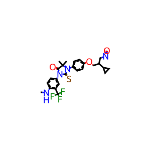 CNc1ccc(N2C(=O)C(C)(C)N(c3ccc(OCC(CN=O)C4CC4)cc3)C2=S)cc1C(F)(F)F